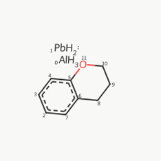 [AlH3].[PbH2].c1ccc2c(c1)CCCO2